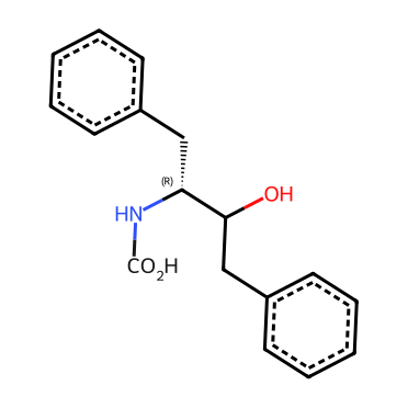 O=C(O)N[C@H](Cc1ccccc1)C(O)Cc1ccccc1